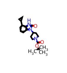 CC(C)(C)OC(=O)N1CCC(n2c(=O)[nH]c3c(C4CC4)cccc32)CC1